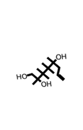 C=CCC(C)(O)C(C)(C)C(C)(C)C(C)(O)CO